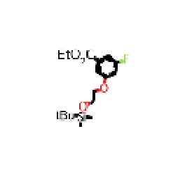 CCOC(=O)c1cc(F)cc(OCCO[Si](C)(C)C(C)(C)C)c1